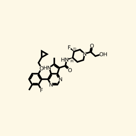 Cc1ccc(OCC2CC2)c(-c2ncnc3c(C(=O)N[C@@H]4CCN(C(=O)CO)C[C@@H]4F)c(C)[nH]c23)c1F